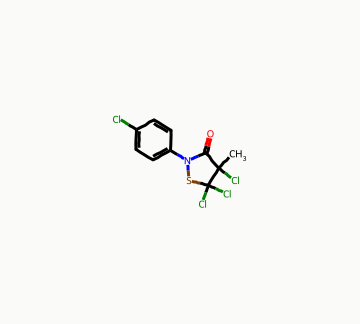 CC1(Cl)C(=O)N(c2ccc(Cl)cc2)SC1(Cl)Cl